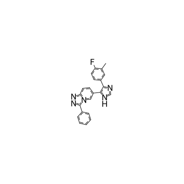 Cc1cc(-c2nc[nH]c2-c2ccc3nnc(-c4ccccc4)n3c2)ccc1F